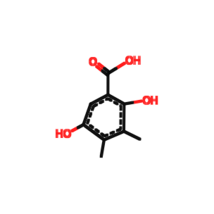 Cc1c(O)cc(C(=O)O)c(O)c1C